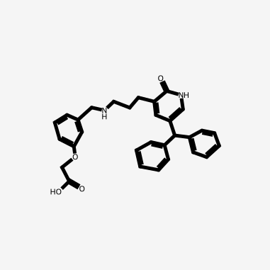 O=C(O)COc1cccc(CNCCCc2cc(C(c3ccccc3)c3ccccc3)c[nH]c2=O)c1